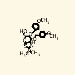 COc1ccc(CO[C@@H]2[C@H]3N=C(N(C)C)S[C@H]3O[C@H](CO)[C@@H]2OCc2ccc(OC)cc2)cc1